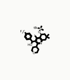 CC1(C)Cc2nc(C3CCOCC3)c(C(O)c3ccc(C(F)(F)F)cc3)c(I)c2[C@@H](O[Si](C)(C)C(C)(C)C)C1